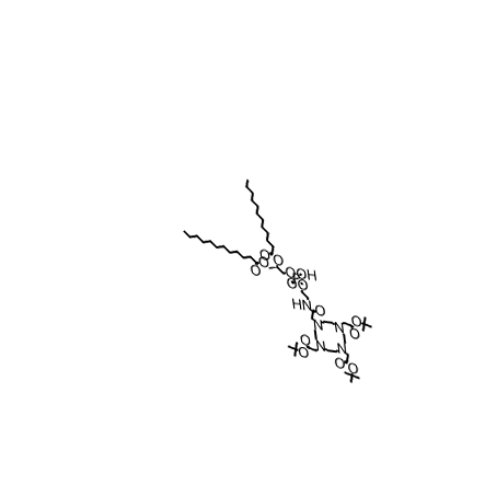 CCCCCCCCCCCC(=O)OC[C@H](COP(=O)(O)OCCNC(=O)CN1CCN(CC(=O)OC(C)(C)C)CCN(CC(=O)OC(C)(C)C)CCN(CC(=O)OC(C)(C)C)CC1)OC(=O)CCCCCCCCCCC